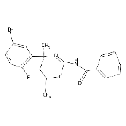 CC1(c2cc(Br)ccc2F)CC(C(F)(F)F)OC(NC(=O)c2ccccc2)=N1